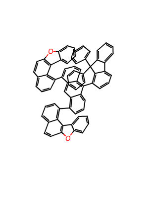 c1ccc(C2(c3ccccc3)c3ccccc3-c3cccc(-c4c5cccc(-c6cccc7ccc8oc9ccccc9c8c67)c5cc5c(-c6cccc7ccc8oc9ccccc9c8c67)cccc45)c32)cc1